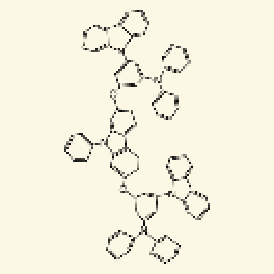 c1ccc(N(c2ccccc2)c2cc(Oc3ccc4c5ccc(Oc6cc(N(c7ccccc7)c7ccccc7)cc(-n7c8ccccc8c8ccccc87)c6)cc5n(-c5ccccc5)c4c3)cc(-n3c4ccccc4c4ccccc43)c2)cc1